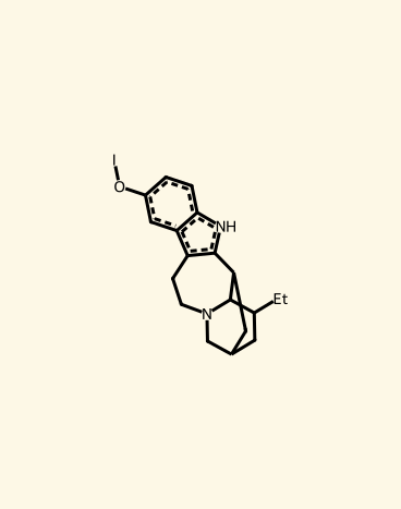 CCC1CC2CC3c4[nH]c5ccc(OI)cc5c4CCN(C2)C13